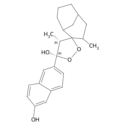 CC1CC2CCCC(C2)C12OO[C@@](O)(c1ccc3cc(O)ccc3c1)[C@@H]2C